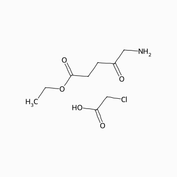 CCOC(=O)CCC(=O)CN.O=C(O)CCl